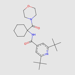 CC(C)(C)c1cc(C(=O)NC2(C(=O)N3CCOCC3)CCCCC2)cc(C(C)(C)C)n1